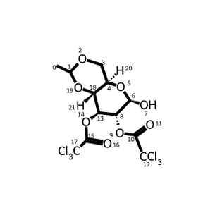 CC1OC[C@H]2O[C@@H](O)[C@H](OC(=O)C(Cl)(Cl)Cl)[C@@H](OC(=O)C(Cl)(Cl)Cl)[C@@H]2O1